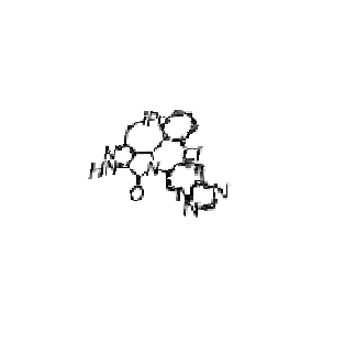 CC(C)Cc1n[nH]c2c1C(c1ccccc1Cl)N(c1ccc3ncnn3c1)C2=O